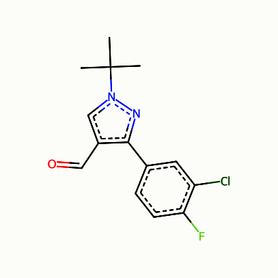 CC(C)(C)n1cc(C=O)c(-c2ccc(F)c(Cl)c2)n1